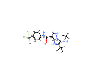 CC(C)(C)Nc1c(C(C)(C)C)[nH]c2c(C(=O)Nc3ccc(C(F)(F)F)cc3)cnn12